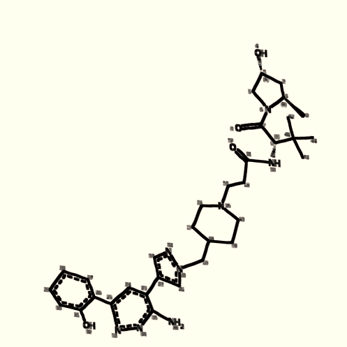 C[C@@H]1C[C@@H](O)CN1C(=O)[C@@H](NC(=O)CCN1CCC(Cn2cc(-c3cc(-c4ccccc4O)nnc3N)cn2)CC1)C(C)(C)C